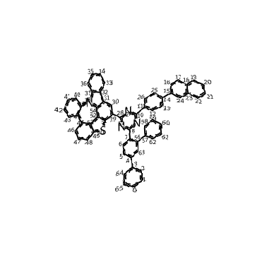 c1ccc(-c2ccc(-c3nc(-c4ccc(-c5ccc6ccccc6c5)cc4)nc(-c4cc5c6ccccc6n6c7ccccc7c7cccc8sc4c(c87)c56)n3)c(-c3ccccc3)c2)cc1